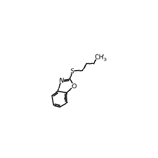 CCCCSc1nc2ccccc2o1